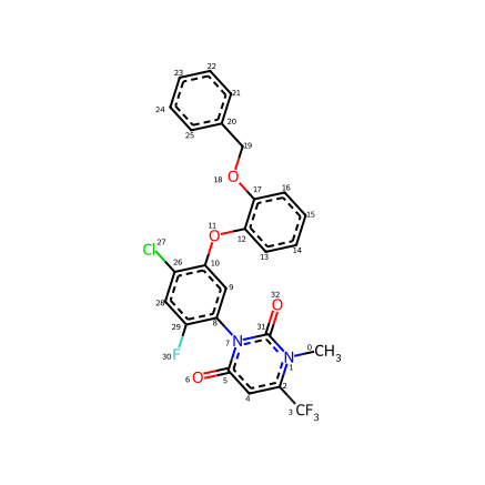 Cn1c(C(F)(F)F)cc(=O)n(-c2cc(Oc3ccccc3OCc3ccccc3)c(Cl)cc2F)c1=O